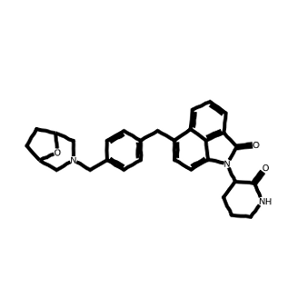 O=C1NCCCC1N1C(=O)c2cccc3c(Cc4ccc(CN5CC6CCC(C5)O6)cc4)ccc1c23